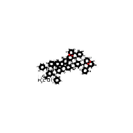 CC(C)(C)c1cc2c3c(c1)N(c1ccccc1)c1cc4c(cc1B3c1ccccc1N2c1ccccc1)C1(c2cc3c(cc2S4)Oc2cc(N(c4ccccc4)c4ccccc4-c4ccccc4)cc4c2B3c2ccccc2N4c2ccccc2-c2ccccc2)c2ccccc2-c2ccccc21